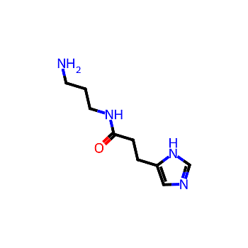 NCCCNC(=O)CCc1cnc[nH]1